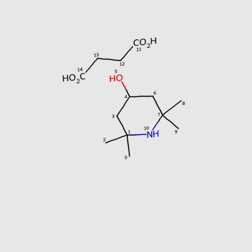 CC1(C)CC(O)CC(C)(C)N1.O=C(O)CCC(=O)O